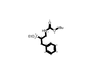 CCOC(=O)C(CNC(=O)OC(C)(C)C)Cc1ccccc1